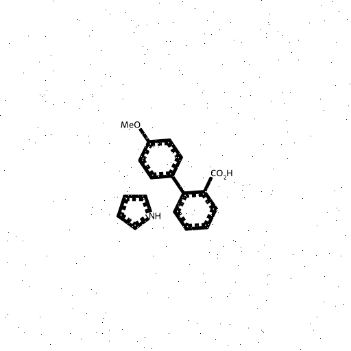 COc1ccc(-c2ccccc2C(=O)O)cc1.c1cc[nH]c1